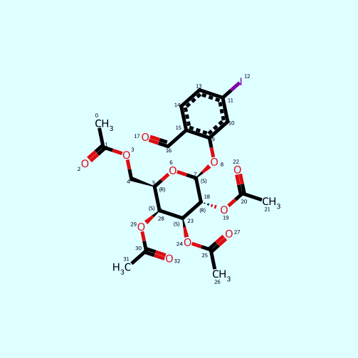 CC(=O)OC[C@H]1O[C@@H](Oc2cc(I)ccc2C=O)[C@H](OC(C)=O)[C@@H](OC(C)=O)[C@H]1OC(C)=O